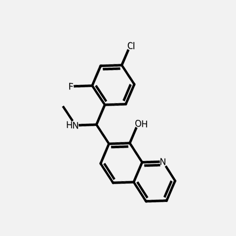 CNC(c1ccc(Cl)cc1F)c1ccc2cccnc2c1O